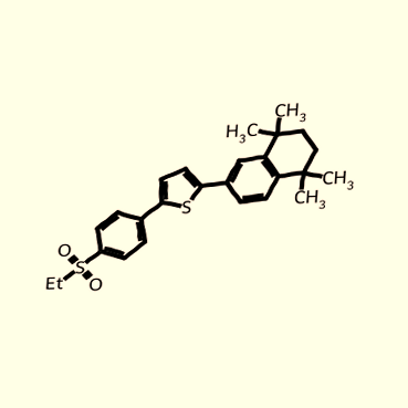 CCS(=O)(=O)c1ccc(-c2ccc(-c3ccc4c(c3)C(C)(C)CCC4(C)C)s2)cc1